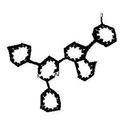 Clc1cccc(-c2ccc(-c3cc(-c4ccccc4)nc(-c4ccccc4)n3)c3ccccc23)c1